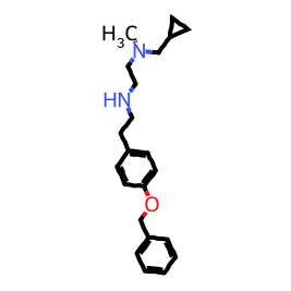 CN(CCNCCc1ccc(OCc2ccccc2)cc1)CC1CC1